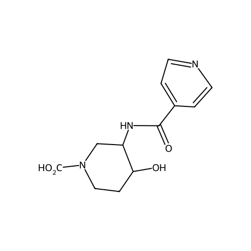 O=C(NC1CN(C(=O)O)CCC1O)c1ccncc1